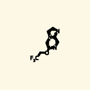 FC(F)(F)COc1cn2ccnc2cn1